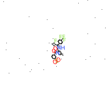 C[C@@H]1C[C@H](C(=O)N[C@@H](c2ccc(C(F)(F)F)cc2F)C2CCC2)N(C(=O)c2cccc(S(C)(=O)=O)c2)C1